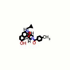 Cc1ccc(C(=O)N2C[C@H]3O[C@@]45CC[C@@H]2[C@@H]3[C@@]42CCN(CC3CC3)[C@@H]5Cc3ccc(O)cc32)cc1